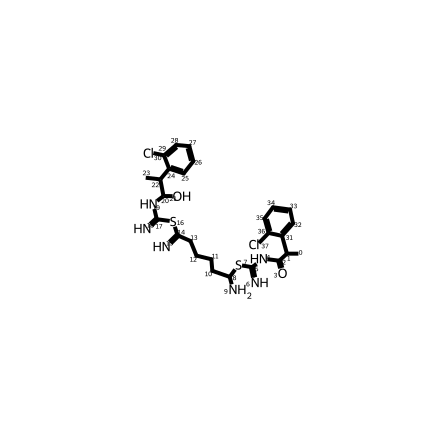 CC(C(=O)NC(=N)SC(N)CCCCC(=N)SC(=N)NC(O)C(C)c1ccccc1Cl)c1ccccc1Cl